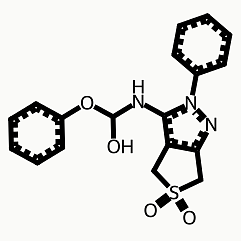 O=S1(=O)Cc2nn(-c3ccccc3)c(NC(O)Oc3ccccc3)c2C1